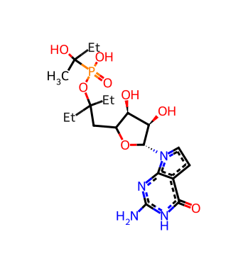 CCC(CC)(CC1O[C@@H](n2ccc3c(=O)[nH]c(N)nc32)[C@H](O)[C@@H]1O)OP(=O)(O)C(C)(O)CC